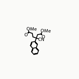 COC(=O)CCC(C#N)(CC(=O)OC)c1ccc2ccccc2c1